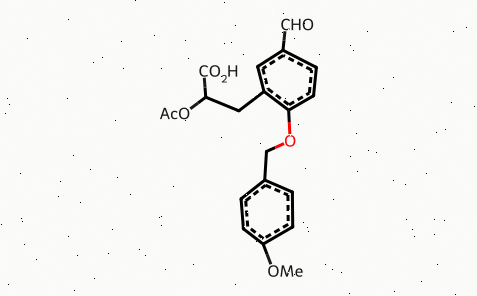 COc1ccc(COc2ccc(C=O)cc2CC(OC(C)=O)C(=O)O)cc1